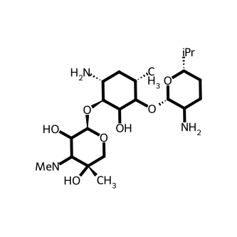 CNC1C(O)[C@@H](O[C@@H]2C(O)C(O[C@@H]3O[C@H](C(C)C)CCC3N)[C@@H](C)C[C@H]2N)OC[C@]1(C)O